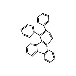 c1ccc(-c2ccccc2-c2nccc(-c3ccccc3)c2-c2ccccc2)cc1